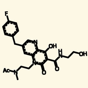 CC(=O)N(C)CCn1c(=O)c(C(=O)NCCO)c(O)c2ncc(Cc3ccc(F)cc3)cc21